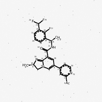 CC(=O)c1cc(C2=CN3C[C@@H](C)N=C3C(C(=O)N[C@H](C)c3cccc(C(F)F)c3F)=C2)ccn1